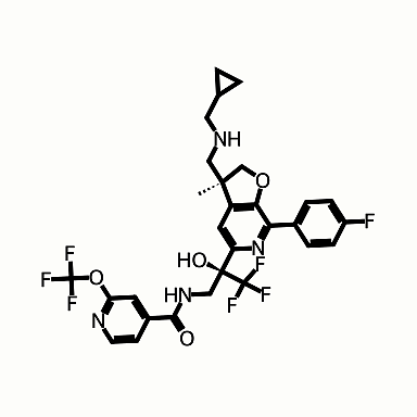 C[C@]1(CNCC2CC2)COc2c1cc([C@@](O)(CNC(=O)c1ccnc(OC(F)(F)F)c1)C(F)(F)F)nc2-c1ccc(F)cc1